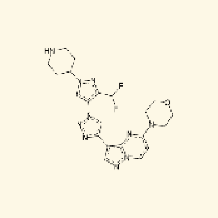 FC(F)c1nn(C2CCNCC2)cc1-n1cc(-c2cnn3ccc(N4CCOCC4)nc23)nn1